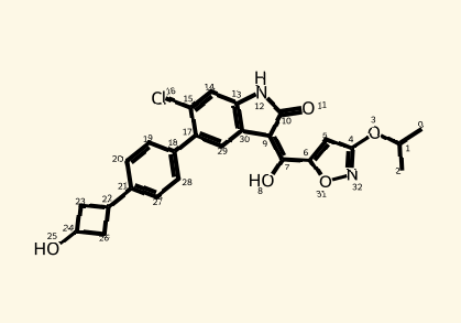 CC(C)Oc1cc(C(O)=C2C(=O)Nc3cc(Cl)c(-c4ccc(C5CC(O)C5)cc4)cc32)on1